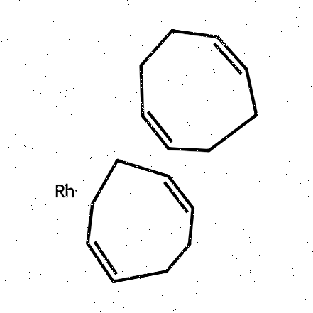 C1=CCCC=CCC1.C1=CCCC=CCC1.[Rh]